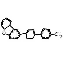 Cc1ccc(C2=CC=C(c3ccc4c(c3)C3C=CC=CC3O4)CC2)cc1